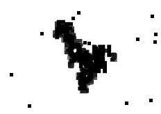 CC[C@]1(n2cc(C(N)=O)c(Nc3ccc(SC)cc3)n2)CC[C@@H](N2CC(C(F)(F)F)C2)CC1